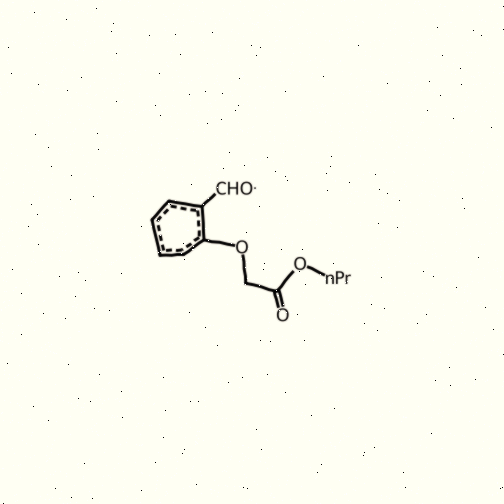 CCCOC(=O)COc1ccccc1[C]=O